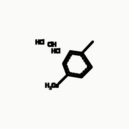 Cc1cc[c]([GeH3])cc1.Cl.Cl.Cl